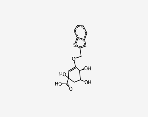 O=C(O)[C@]1(O)C=C(OCc2cc3ccccc3s2)[C@@H](O)C(O)C1